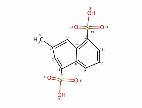 Cc1cc(S(=O)(=O)O)c2cccc(S(=O)(=O)O)c2c1